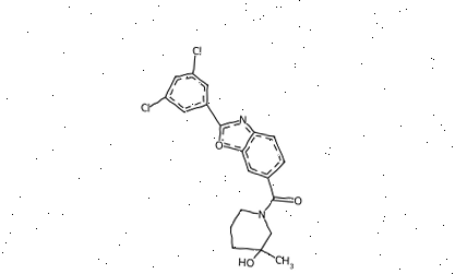 CC1(O)CCCN(C(=O)c2ccc3nc(-c4cc(Cl)cc(Cl)c4)oc3c2)C1